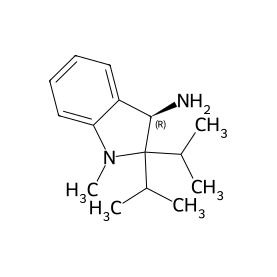 CC(C)C1(C(C)C)[C@H](N)c2ccccc2N1C